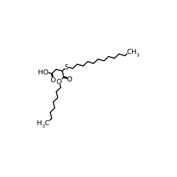 CCCCCCCCCCCCSC(CC(=O)O)C(=O)OCCCCCCCC